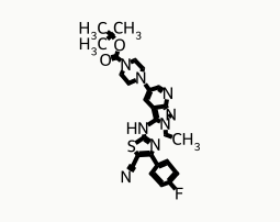 CCn1nc2ncc(N3CCN(C(=O)OC(C)(C)C)CC3)cc2c1Nc1nc(-c2ccc(F)cc2)c(C#N)s1